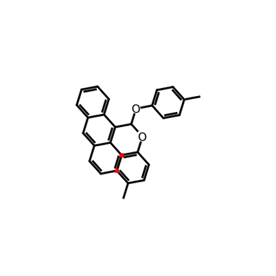 Cc1ccc(OC(Oc2ccc(C)cc2)c2c3ccccc3cc3ccccc23)cc1